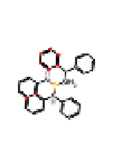 c1ccc(C([SiH2]P([SiH](c2ccccc2)c2ccccc2)[SiH](c2ccccc2)c2ccccc2)c2ccccc2)cc1